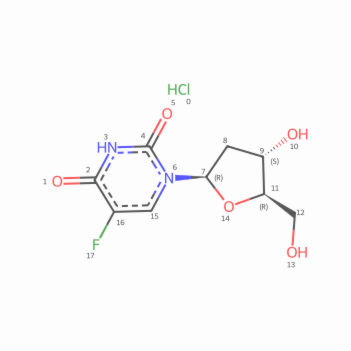 Cl.O=c1[nH]c(=O)n([C@H]2C[C@H](O)[C@@H](CO)O2)cc1F